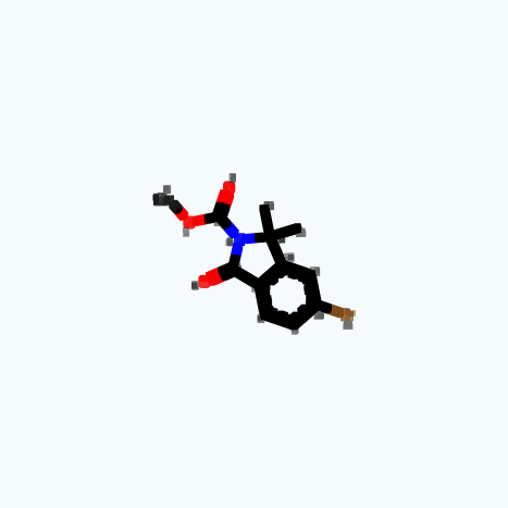 CC(C)(C)OC(=O)N1C(=O)c2ccc(Br)cc2C1(C)C